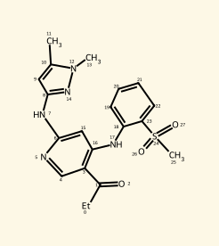 CCC(=O)c1cnc(Nc2cc(C)n(C)n2)cc1Nc1ccccc1S(C)(=O)=O